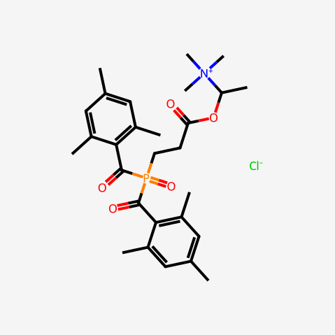 Cc1cc(C)c(C(=O)P(=O)(CCC(=O)OC(C)[N+](C)(C)C)C(=O)c2c(C)cc(C)cc2C)c(C)c1.[Cl-]